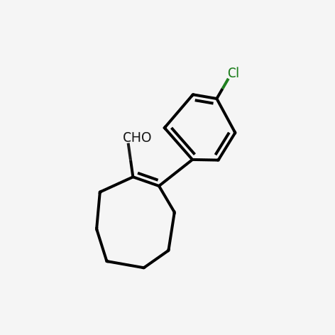 O=C/C1=C(\c2ccc(Cl)cc2)CCCCCC1